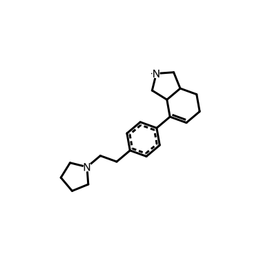 C1=C(c2ccc(CCN3CCCC3)cc2)C2C[N]CC2CC1